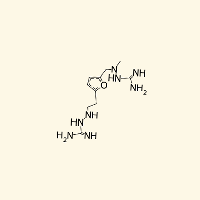 CN(Cc1ccc(CCNNC(=N)N)o1)NC(=N)N